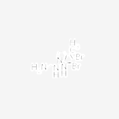 Cc1c(Br)c(Br)c2c3c1CCCN3C(NCCN)N2